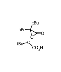 CC(C)(C)OC(=O)O.CCCC1(C(C)(C)C)OC1=O